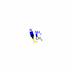 CN.N#CS